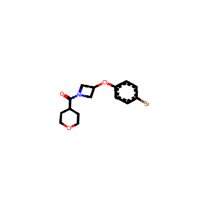 O=C(C1CCOCC1)N1CC(Oc2ccc(Br)cc2)C1